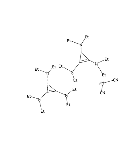 CCN(CC)C1=C(N(CC)CC)C1N(CC)CC.CCN(CC)C1=C(N(CC)CC)C1N(CC)CC.N#CNC#N